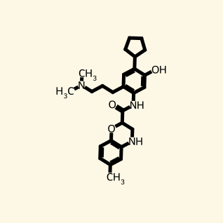 Cc1ccc2c(c1)NCC(C(=O)Nc1cc(O)c(C3CCCC3)cc1CCCN(C)C)O2